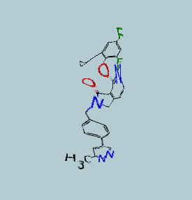 Cc1cc(-c2ccc(CN3Cc4ccnc(Oc5c(F)cc(F)cc5C5CC5)c4C3=O)cc2)cnn1